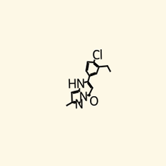 CCc1cc(-c2cc(=O)n3nc(C)cc3[nH]2)ccc1Cl